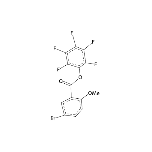 COc1ccc(Br)cc1C(=O)Oc1c(F)c(F)c(F)c(F)c1F